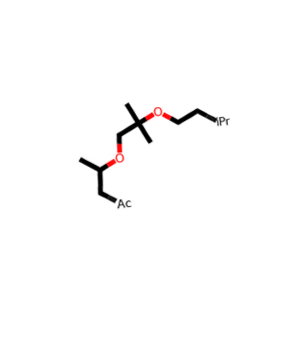 CC(=O)CC(C)OCC(C)(C)OCCC(C)C